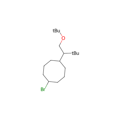 CC(C)(C)OCC(C1CCCC(Br)CCC1)C(C)(C)C